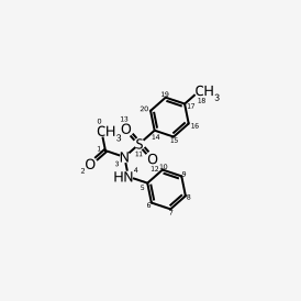 CC(=O)N(Nc1ccccc1)S(=O)(=O)c1ccc(C)cc1